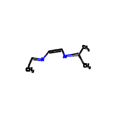 C/C=N/C=C\N=C(C)C